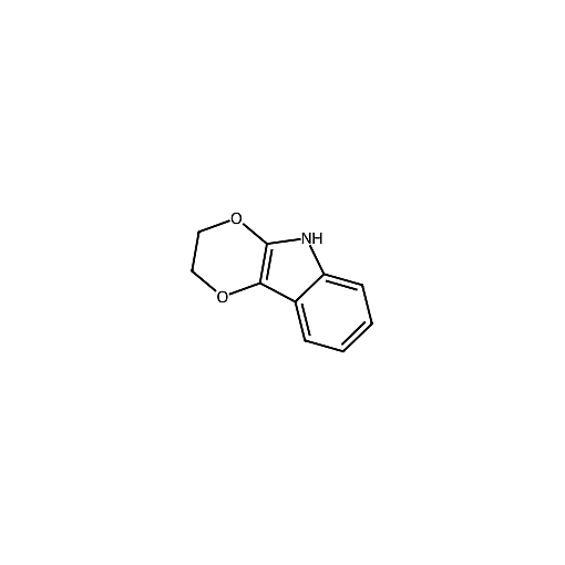 c1ccc2c3c([nH]c2c1)OCCO3